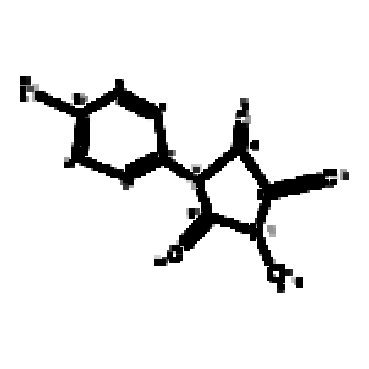 CN1C(=O)C(=O)N(c2ccc(Cl)cc2)C1=O